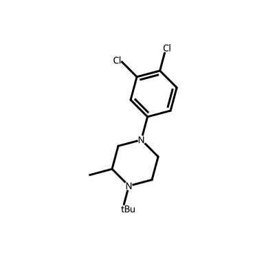 CC1CN(c2ccc(Cl)c(Cl)c2)CCN1C(C)(C)C